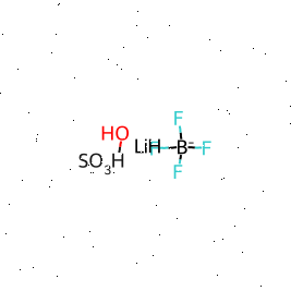 F[B-](F)(F)F.O=S(=O)(O)O.[LiH]